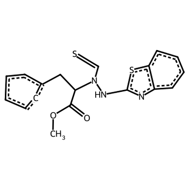 COC(=O)C(Cc1ccccc1)N(C=S)Nc1nc2ccccc2s1